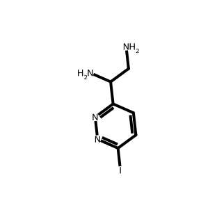 NCC(N)c1ccc(I)nn1